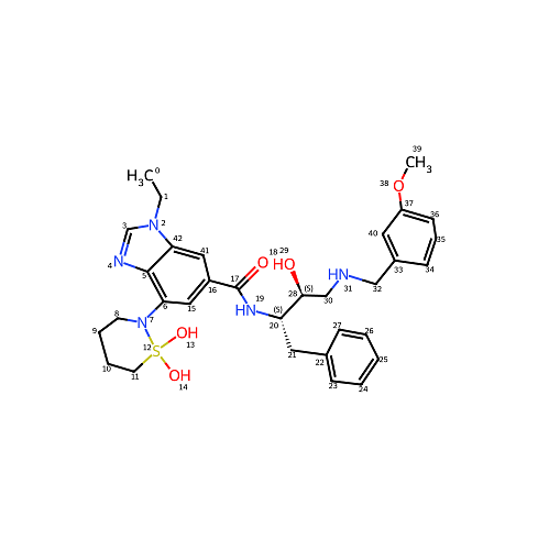 CCn1cnc2c(N3CCCCS3(O)O)cc(C(=O)N[C@@H](Cc3ccccc3)[C@@H](O)CNCc3cccc(OC)c3)cc21